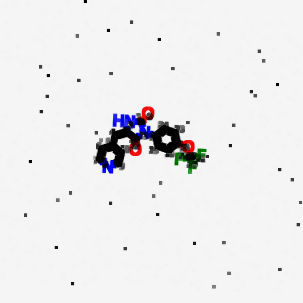 O=C1NC(=Cc2ccncc2)C(=O)N1c1ccc(OC(F)(F)F)cc1